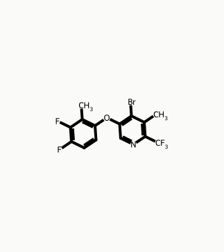 Cc1c(Oc2cnc(C(F)(F)F)c(C)c2Br)ccc(F)c1F